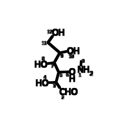 CN.O=CC(O)C(O)C(O)C(O)CO